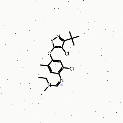 CCN(C)/C=N\c1cc(C)c(Oc2snc(C(C)(C)C)c2Cl)cc1Cl